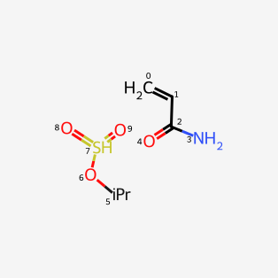 C=CC(N)=O.CC(C)O[SH](=O)=O